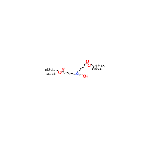 CCCCCCCCC(CCCCCC)COC(=O)CCCCCN(CCO)CCCCCC(=O)OCC(CCCCCC)CCCCCCCC